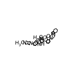 CN1CC2=CN(c3ccc(Nc4cc(-c5cccc(N6CCn7c(cc8c7CCCC8)C6=O)c5CO)cn(C)c4=O)nc3)CC2C1